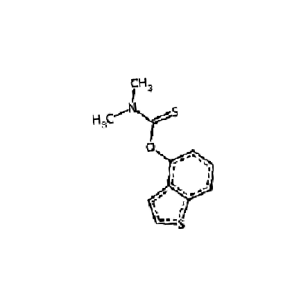 CN(C)C(=S)Oc1cccc2sccc12